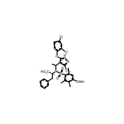 COc1cc(C)c(S(=O)(=O)N(C(C)c2c(C(F)(F)F)n[nH]c2Oc2ccc(Cl)cc2Cl)[C@@H](Cc2ccccc2)C(=O)O)c(C)c1C